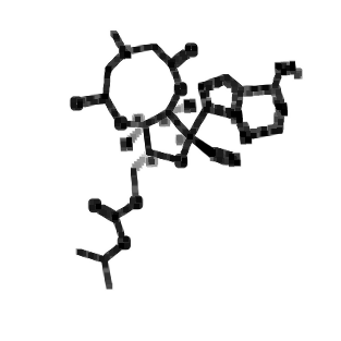 CC(C)OC(=O)OC[C@H]1O[C@@](C#N)(c2ccc3c(N)ncnn23)[C@@H]2OC(=O)CN(C)CC(=O)O[C@@H]21